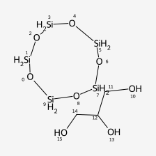 O1[SiH2]O[SiH2]O[SiH2]O[SiH2]O[SiH2]1.OCC(O)CO